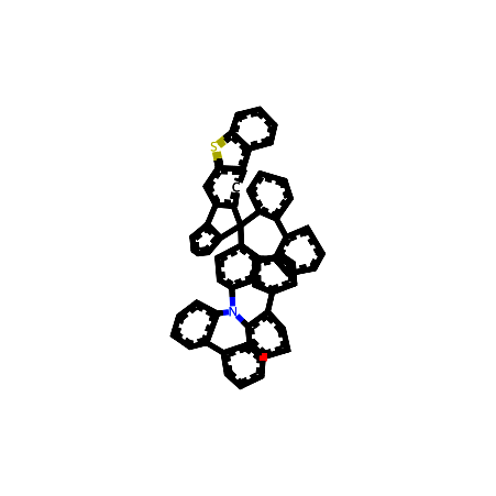 c1ccc(-c2ccccc2N(c2ccc3c(c2)-c2ccccc2-c2ccccc2C32c3ccccc3-c3cc4sc5ccccc5c4cc32)c2ccccc2-c2ccccc2)cc1